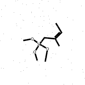 CC=C(C)C[Si](OC)(OC)OC